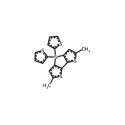 Cc1cc2c(s1)-c1sc(C)cc1[Si]2(c1cccs1)c1cccs1